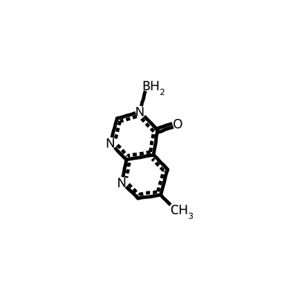 Bn1cnc2ncc(C)cc2c1=O